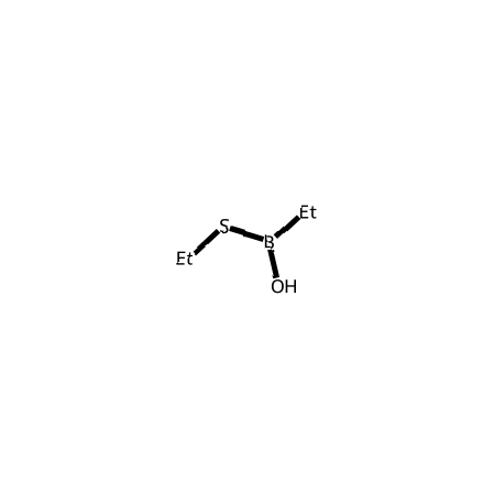 CCSB(O)CC